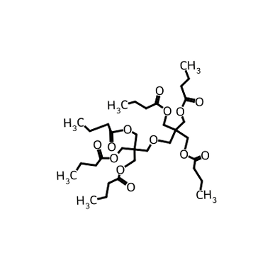 CCCC(=O)OCC(COCC(COC(=O)CCC)(COC(=O)CCC)COC(=O)CCC)(COC(=O)CCC)COC(=O)CCC